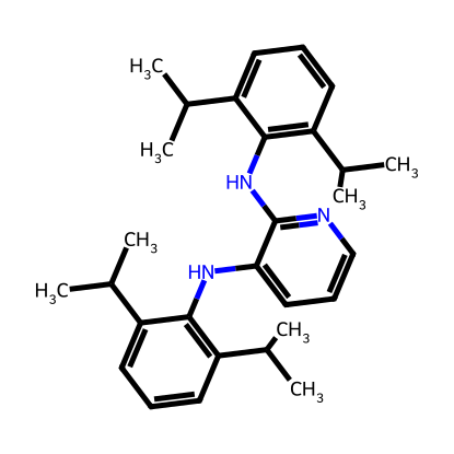 CC(C)c1cccc(C(C)C)c1Nc1cccnc1Nc1c(C(C)C)cccc1C(C)C